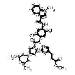 COC(=O)CCc1cnc([C@@H]2C[C@H](N3C[C@@H](C)O[C@@H](C)C3)CN2C(=O)Cc2cc(Cl)c(NC(=O)c3cn(C)c4ccccc34)cc2Cl)s1